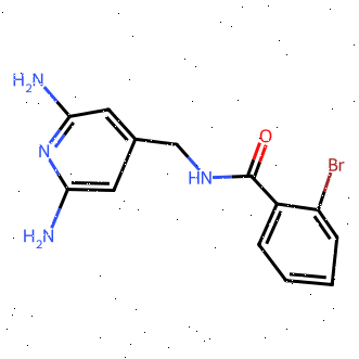 Nc1cc(CNC(=O)c2ccccc2Br)cc(N)n1